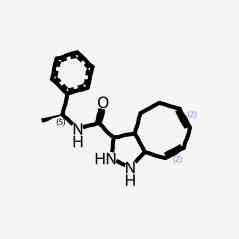 C[C@H](NC(=O)C1NNC2/C=C\C=C/CCC21)c1ccccc1